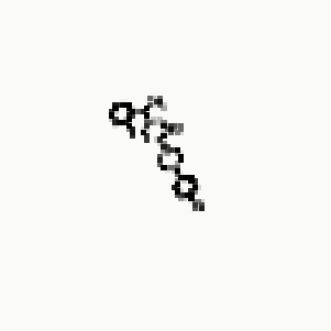 CCc1ccc(N2CCN(C3CCN(C(C)c4ccccc4I)CC3)CC2)cc1.Cl